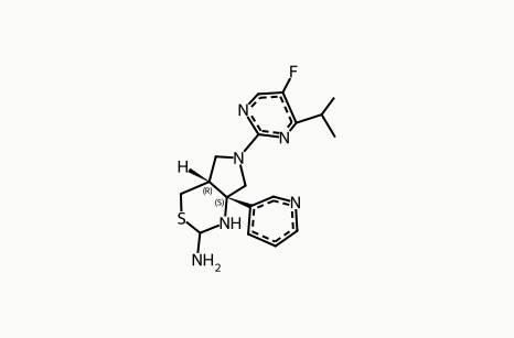 CC(C)c1nc(N2C[C@H]3CSC(N)N[C@@]3(c3cccnc3)C2)ncc1F